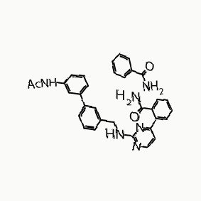 CC(=O)Nc1cccc(-c2cccc(CNc3nccc(-c4ccccc4C(N)=O)n3)c2)c1.NC(=O)c1ccccc1